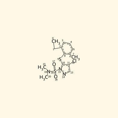 CCc1cccc(C)c1Sc1c(Cl)cnn1S(=O)(=O)N(C)C